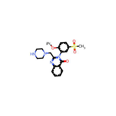 CC(C)Oc1ccc(S(C)(=O)=O)cc1-n1c(CN2CCNCC2)nc2ccccc2c1=O